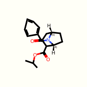 CC(C)OC(=O)C1C(=O)C[C@@H]2CC[C@H]1N2Cc1ccccc1